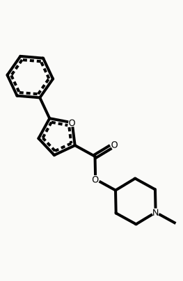 CN1CCC(OC(=O)c2ccc(-c3ccccc3)o2)CC1